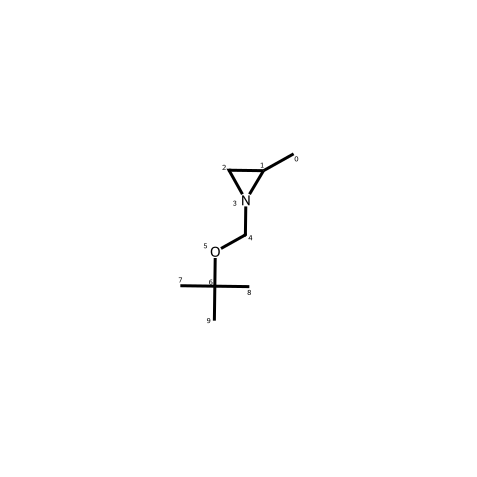 CC1CN1COC(C)(C)C